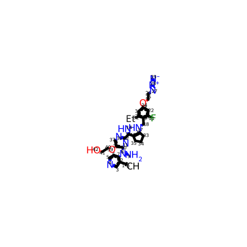 C#Cc1cnccc1N(N)c1nc(C(=N)C2=C(NCc3c(F)cc(OCCN=[N+]=[N-])cc3CC)CCC2)ncc1OCCO